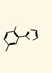 Cc1ccc(N)c(-c2nccs2)c1